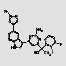 CC(C)n1cc(-c2cnc3[nH]cc(-c4cc(C(C)(O)c5cccc(F)c5F)nc(N)n4)c3c2)cn1